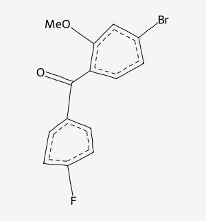 COc1cc(Br)ccc1C(=O)c1ccc(F)cc1